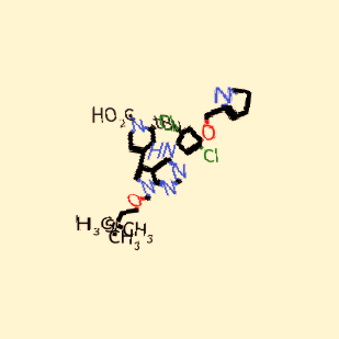 CC(C)(C)C1CC(c2cn(COCC[Si](C)(C)C)c3ncnc(Nc4cc(Cl)c(OCc5ccccn5)cc4Cl)c23)CCN1C(=O)O